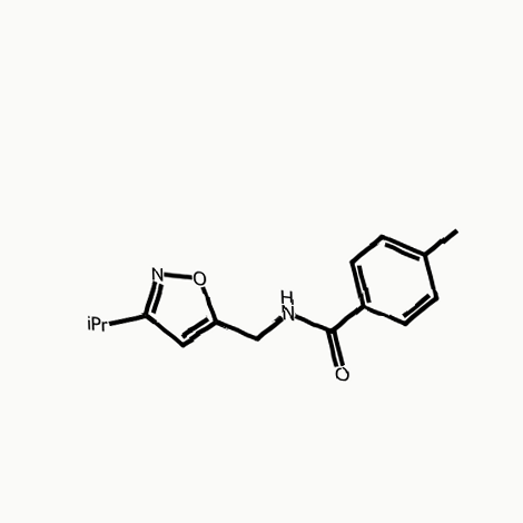 Cc1ccc(C(=O)NCc2cc(C(C)C)no2)cc1